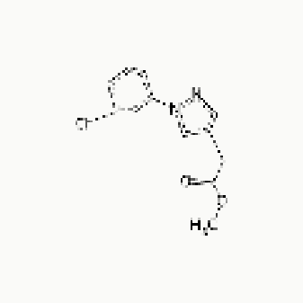 COC(=O)Cc1cnn(-c2cccc(Cl)c2)c1